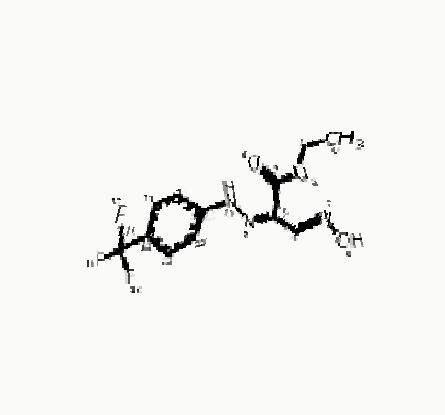 CCOC(=O)C(C=NO)=NNc1ccc(C(F)(F)F)cc1